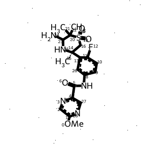 COc1cnc(C(=O)Nc2ccc(F)c([C@]3(C)CS(=O)(=O)C(C)(C)C(N)N3)c2)cn1